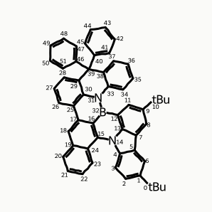 CC(C)(C)c1ccc2c(c1)c1cc(C(C)(C)C)cc3c1n2-c1c2c(cc4ccccc14)-c1cccc4c1N(B23)c1ccccc1C4(c1ccccc1)c1ccccc1